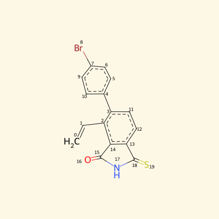 C=Cc1c(-c2ccc(Br)cc2)ccc2c1C(=O)NC2=S